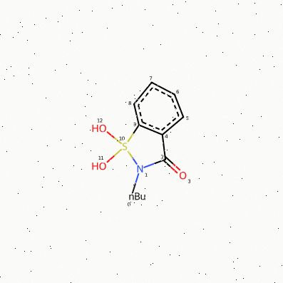 [CH2]CCCN1C(=O)c2ccccc2S1(O)O